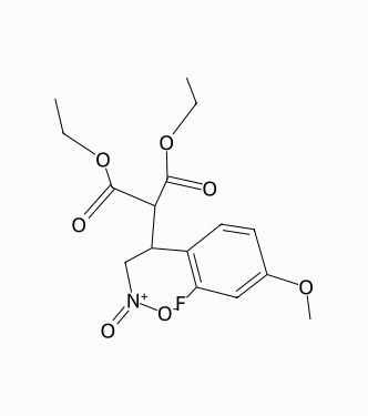 CCOC(=O)C(C(=O)OCC)C(C[N+](=O)[O-])c1ccc(OC)cc1F